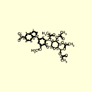 COc1cc(-n2ccc3cc([N+](=O)[O-])ccc32)ccc1O[C@H]1O[C@H](COC(C)=O)[C@@H](OC(C)=O)[C@H](OC(C)=O)[C@@H]1OC(C)=O